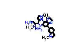 CN(N)/C(=C\N)C(Nc1cc(-c2ccc3ccn(C)c3c2)c2nccnc2c1)c1ccn(C)n1